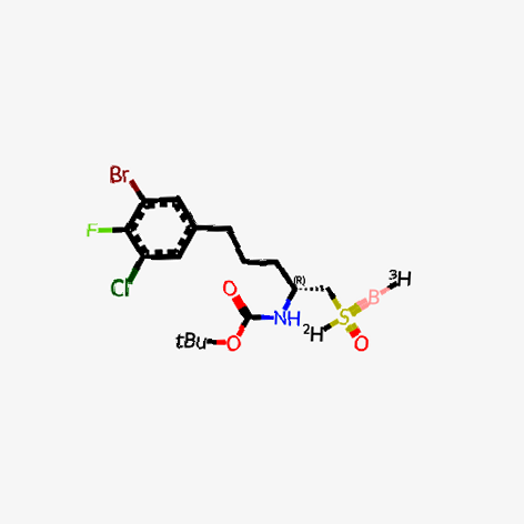 [2H]S(=O)(=B[3H])C[C@@H](CCCc1cc(Cl)c(F)c(Br)c1)NC(=O)OC(C)(C)C